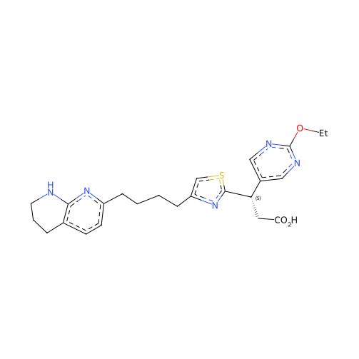 CCOc1ncc([C@H](CC(=O)O)c2nc(CCCCc3ccc4c(n3)NCCC4)cs2)cn1